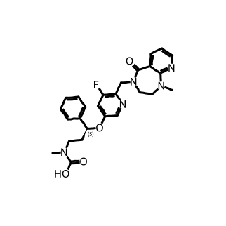 CN(CC[C@H](Oc1cnc(CN2CCN(C)c3ncccc3C2=O)c(F)c1)c1ccccc1)C(=O)O